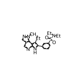 CCc1c(-c2cccc(S(=O)(=O)N(CC)CC)c2)[nH]c2ncc3cnn(C)c3c12